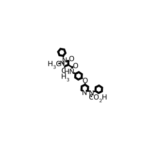 Cc1c(C(=O)Nc2ccc(Oc3ccnc(N(C(=O)O)c4ccccc4)c3)cc2)c(=O)n(-c2ccccc2)n1C